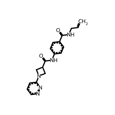 C=CCNC(=O)c1ccc(NC(=O)C2CN(c3cccnn3)C2)cc1